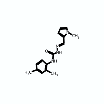 Cc1ccc(NC(=O)N/N=C/c2cccn2C)c(C)c1